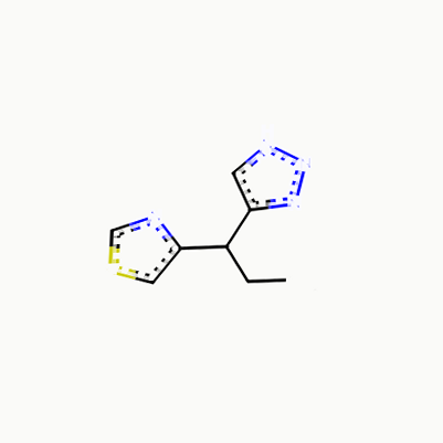 [CH2]CC(c1cscn1)c1c[nH]nn1